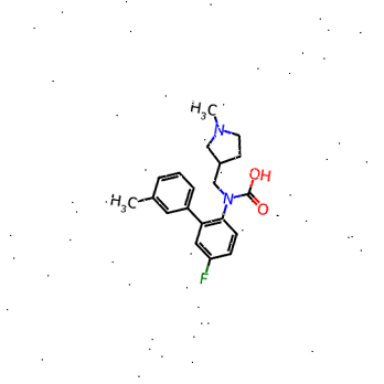 Cc1cccc(-c2cc(F)ccc2N(CC2CCN(C)C2)C(=O)O)c1